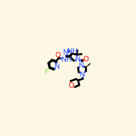 C[C@H]1CN(CC2CCOCC2)CCN1C(=O)N1Cc2c(NC(=O)c3ccc(F)cn3)n[nH]c2C1(C)C